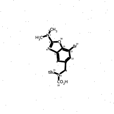 CN(C)c1nc2cc(CN(C(=O)O)C(C)(C)C)cc(Br)c2o1